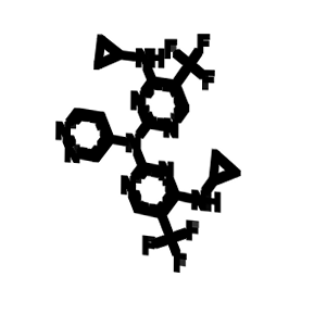 FC(F)(F)c1cnc(N(c2ccnnc2)c2ncc(C(F)(F)F)c(NC3CC3)n2)nc1NC1CC1